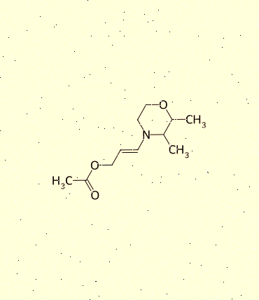 CC(=O)OC/C=C/N1CCOC(C)C1C